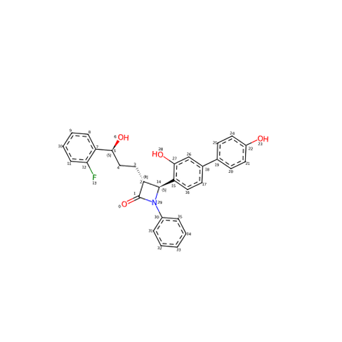 O=C1[C@H](CC[C@H](O)c2ccccc2F)[C@@H](c2ccc(-c3ccc(O)cc3)cc2O)N1c1ccccc1